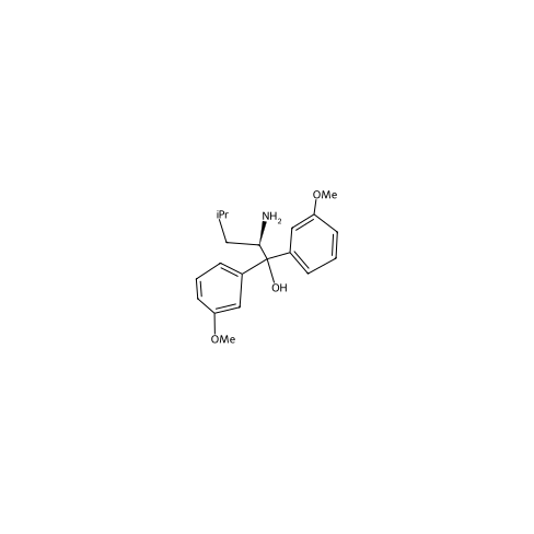 COc1cccc(C(O)(c2cccc(OC)c2)[C@H](N)CC(C)C)c1